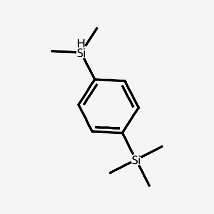 C[SiH](C)c1ccc([Si](C)(C)C)cc1